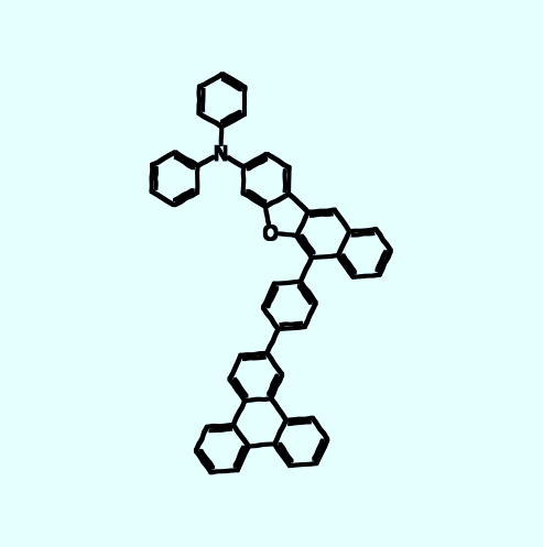 c1ccc(N(c2ccccc2)c2ccc3c(c2)oc2c(-c4ccc(-c5ccc6c7ccccc7c7ccccc7c6c5)cc4)c4ccccc4cc23)cc1